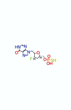 O=c1[nH]cnc2c1ncn2CC1O[C@H](COP(=O)(O)S)C[C@@H]1F